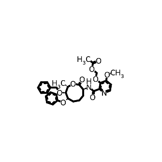 COc1ccnc(C(=O)N[C@H]2CCC[C@H](Oc3ccccc3)[C@@H](OCc3ccccc3)[C@H](C)OC2=O)c1OCOC(C)=O